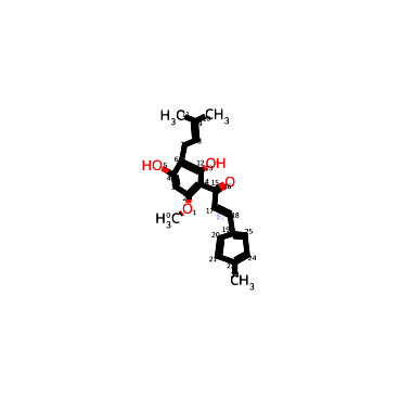 COc1cc(O)c(CC=C(C)C)c(O)c1C(=O)/C=C/c1ccc(C)cc1